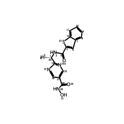 CC(C)[C@H](NC(=O)c1cc2ccccc2s1)c1ncc(C(=O)NO)cn1